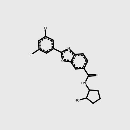 O=C(NC1CCCC1O)c1ccc2nc(-c3cc(Cl)cc(Cl)c3)oc2c1